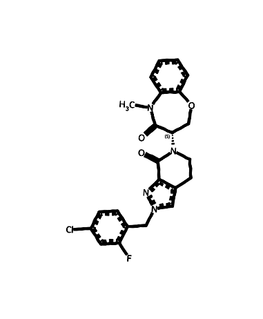 CN1C(=O)[C@@H](N2CCc3cn(Cc4ccc(Cl)cc4F)nc3C2=O)COc2ccccc21